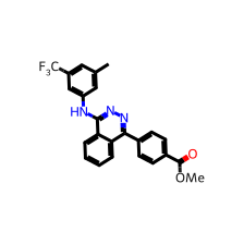 COC(=O)c1ccc(-c2nnc(Nc3cc(C)cc(C(F)(F)F)c3)c3ccccc23)cc1